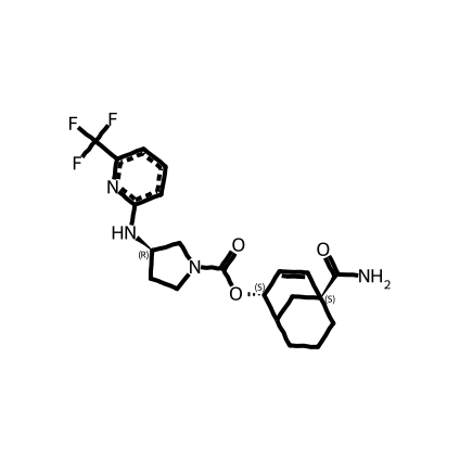 NC(=O)[C@@]12C=C[C@@H](OC(=O)N3CC[C@@H](Nc4cccc(C(F)(F)F)n4)C3)C(CCC1)C2